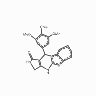 COc1cc(C2C3=C(CNC3=O)Nc3nc4ccccc4n32)cc(OC)c1OC